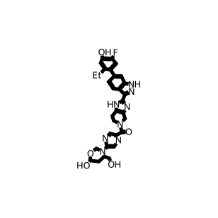 CCc1cc(O)c(F)cc1-c1ccc2c(-c3nc4c([nH]3)CCN(C(=O)c3cnc(N5COC(O)CC5CO)cn3)C4)n[nH]c2c1